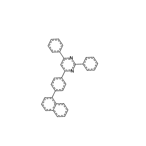 c1ccc(-c2cc(-c3ccc(-c4cccc5ccccc45)cc3)nc(-c3ccccc3)n2)cc1